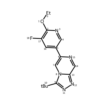 CCOc1ncc(-c2cn3c(C(C)(C)C)nnc3cn2)cc1F